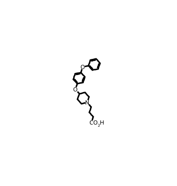 O=C(O)CCCN1CCC(Oc2ccc(Oc3ccccc3)cc2)CC1